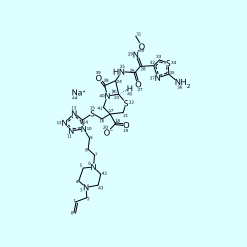 C=CCN1CCN(CCCn2nnnc2SCC2(C(=O)[O-])CS[C@@H]3C(NC(=O)C(=NOC)c4csc(N)n4)C(=O)N3C2)CC1.[Na+]